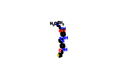 CN(C)CCCNS(=O)(=O)c1ccc(Nc2nccc(-c3ccc(NC(=O)Cc4ccsc4)cc3)n2)cc1